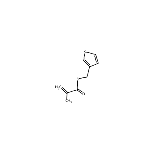 C=C(C)C(=O)SCc1ccsc1